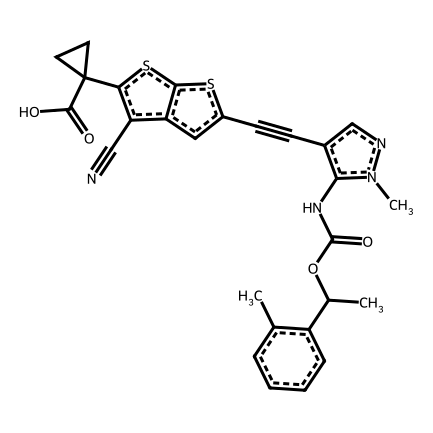 Cc1ccccc1C(C)OC(=O)Nc1c(C#Cc2cc3c(C#N)c(C4(C(=O)O)CC4)sc3s2)cnn1C